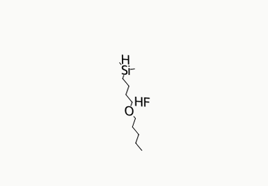 CCCCCOCCCC[SiH](C)C.F